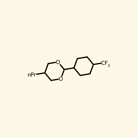 CCCC1COC(C2CCC(C(F)(F)F)CC2)OC1